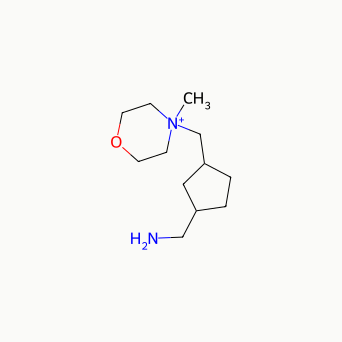 C[N+]1(CC2CCC(CN)C2)CCOCC1